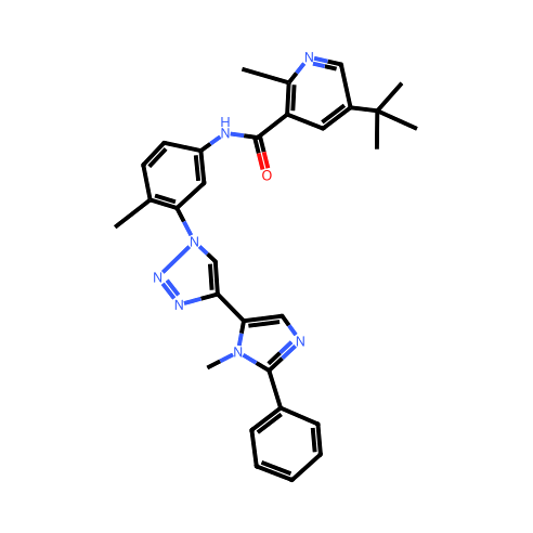 Cc1ccc(NC(=O)c2cc(C(C)(C)C)cnc2C)cc1-n1cc(-c2cnc(-c3ccccc3)n2C)nn1